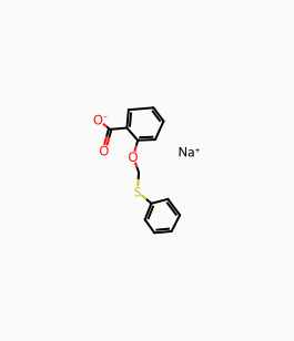 O=C([O-])c1ccccc1OCSc1ccccc1.[Na+]